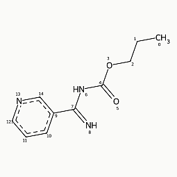 CCCOC(=O)NC(=N)c1cc[c]nc1